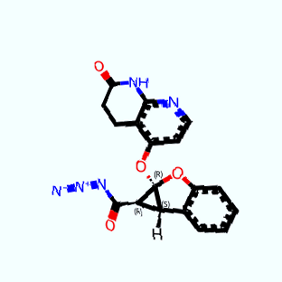 [N-]=[N+]=NC(=O)[C@@H]1[C@H]2c3ccccc3O[C@]12Oc1ccnc2c1CCC(=O)N2